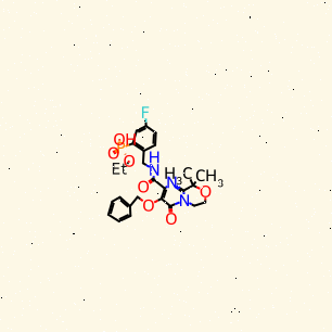 CCOP(=O)(O)c1cc(F)ccc1CNC(=O)c1nc2n(c(=O)c1OCc1ccccc1)CCOC2(C)C